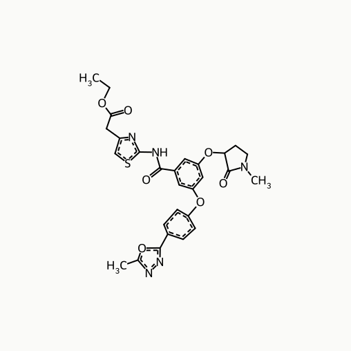 CCOC(=O)Cc1csc(NC(=O)c2cc(Oc3ccc(-c4nnc(C)o4)cc3)cc(OC3CCN(C)C3=O)c2)n1